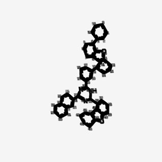 c1ccc(-c2cccc3c2oc2cccc(-c4cccc(C5=NC(c6ccc7ccccc7c6)=NC(c6cccc7oc8ccccc8c67)N5)c4)c23)cc1